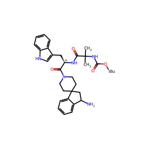 CC(C)(C)OC(=O)NC(C)(C)C(=O)N[C@H](Cc1c[nH]c2ccccc12)C(=O)N1CCC2(CC1)CC(N)c1ccccc12